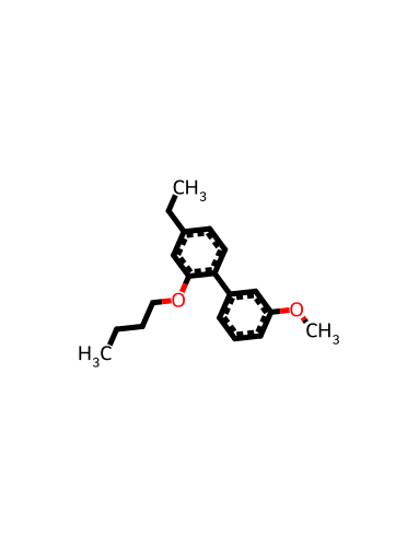 CCCCOc1cc(CC)ccc1-c1cccc(OC)c1